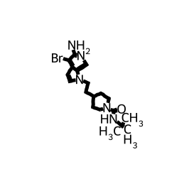 CC(C)(C)NC(=O)N1CCC(CCn2ccc3c(Br)c(N)ncc32)CC1